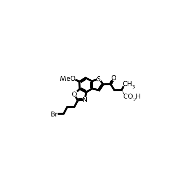 COc1cc2sc(C(=O)C[C@H](C)C(=O)O)cc2c2nc(CCCBr)oc12